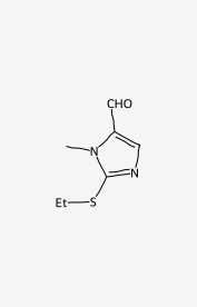 CCSc1ncc(C=O)n1C